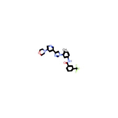 Cc1ccc(NC(=O)c2cccc(C(F)(F)F)c2)cc1-n1cnc(-c2cncc(N3CCOCC3)c2)c1